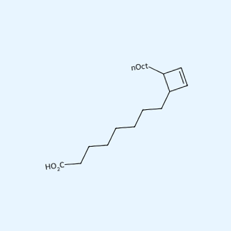 CCCCCCCCC1C=CC1CCCCCCCC(=O)O